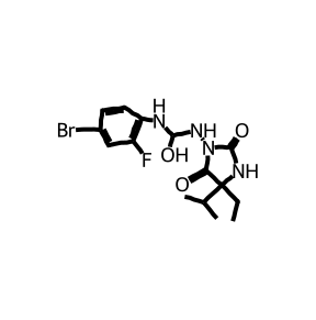 CCC1(C(C)C)NC(=O)N(NC(O)Nc2ccc(Br)cc2F)C1=O